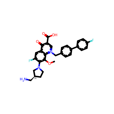 COc1c(N2CC[C@@H](CN)C2)c(F)cc2c(=O)c(C(=O)O)cn(Cc3ccc(-c4ccc(F)cc4)cc3)c12